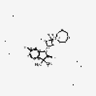 CC1(C)C(=O)N([C@H]2C[C@@](C)(N3CCCOCC3)C2)c2cc(Br)cnc21